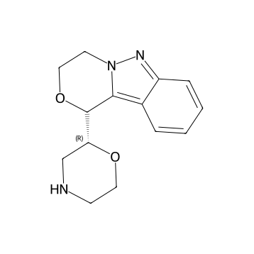 c1ccc2c3n(nc2c1)CCOC3[C@H]1CNCCO1